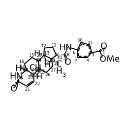 COC(=O)c1ccc(NC(=O)[C@H]2CC[C@H]3[C@@H]4CC[C@H]5NC(=O)C=C[C@]5(C)[C@H]4CC[C@]23C)cc1